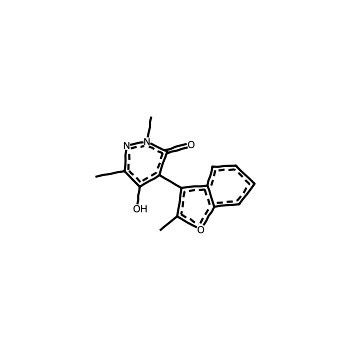 Cc1nn(C)c(=O)c(-c2c(C)oc3ccccc23)c1O